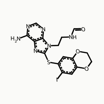 Nc1ncnc2c1nc(Sc1cc3c(cc1I)OCCO3)n2CCNC=O